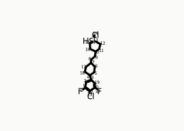 Fc1cc(C2CCC(CCC3CC[SiH](Cl)CC3)CC2)cc(F)c1Cl